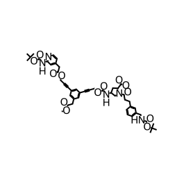 COC(=O)Cc1cc(C#CCOC(=O)Cc2ccnc(NC(=O)OC(C)(C)C)c2)cc(C#CCOC(=O)NC2CC(C(=O)OC)N(C(=O)CCc3cccc(CNC(=O)OC(C)(C)C)c3)C2)c1